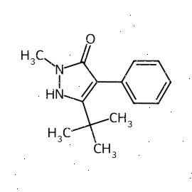 Cn1[nH]c(C(C)(C)C)c(-c2ccccc2)c1=O